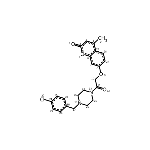 Cc1cc(=O)oc2cc(OCC(=O)N3CCN(Cc4ccc(Cl)cc4)CC3)ccc12